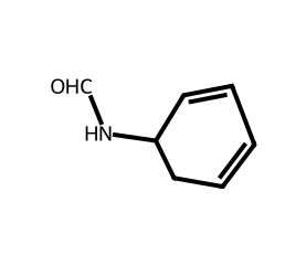 O=CNC1C=CC=CC1